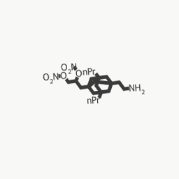 CCCC12CC3(CCC)CC(CCN)(C1)CC(CC(CO[N+](=O)[O-])O[N+](=O)[O-])(C2)C3